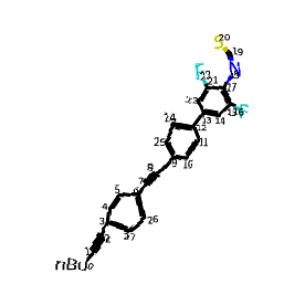 CCCCC#Cc1ccc(C#Cc2ccc(-c3cc(F)c(N=C=S)c(F)c3)cc2)cc1